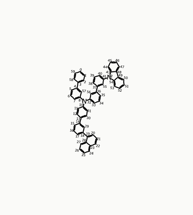 c1ccc(-c2cccc(N(c3ccc(-c4cccc(-c5cccc6ccccc56)c4)cc3)c3cccc(-c4cccc(-n5c6ccccc6c6ccccc65)c4)c3)c2)cc1